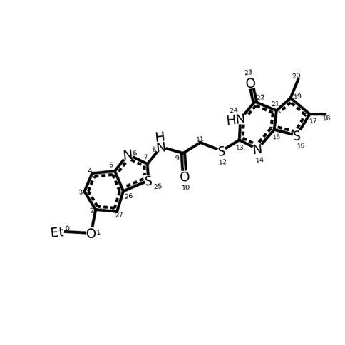 CCOc1ccc2nc(NC(=O)CSc3nc4sc(C)c(C)c4c(=O)[nH]3)sc2c1